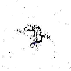 C=C(/C=C\C(C)=C/C)CCN(CC)NC(N)CC